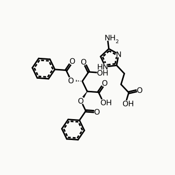 Nc1c[nH]c(CCC(=O)O)n1.O=C(O[C@H](C(=O)O)[C@H](OC(=O)c1ccccc1)C(=O)O)c1ccccc1